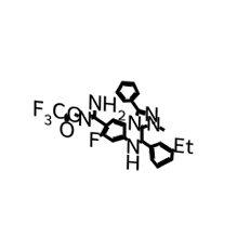 CCc1cccc(C(Nc2ccc(C(N)=NOC(=O)C(F)(F)F)c(F)c2)c2nc(-c3ccccc3)nn2C)c1